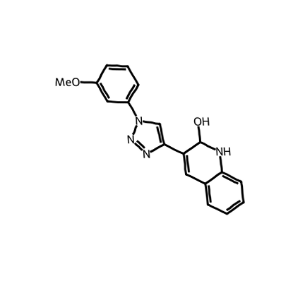 COc1cccc(-n2cc(C3=Cc4ccccc4NC3O)nn2)c1